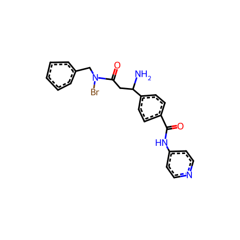 NC(CC(=O)N(Br)Cc1ccccc1)c1ccc(C(=O)Nc2ccncc2)cc1